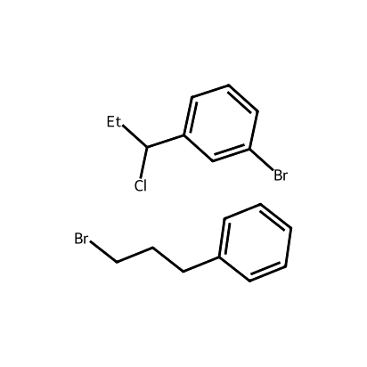 BrCCCc1ccccc1.CCC(Cl)c1cccc(Br)c1